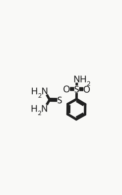 NC(N)=S.NS(=O)(=O)c1ccccc1